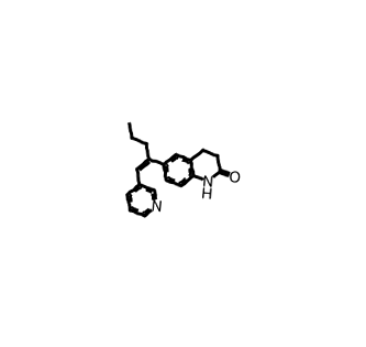 CCC/C(=C/c1cccnc1)c1ccc2c(c1)CCC(=O)N2